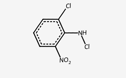 O=[N+]([O-])c1cccc(Cl)c1NCl